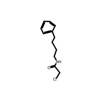 O=C(CCl)NCCCCc1ccccc1